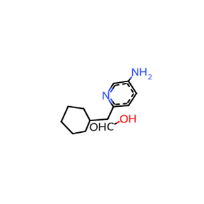 Nc1ccc(CC2CCCCC2)nc1.O=CO